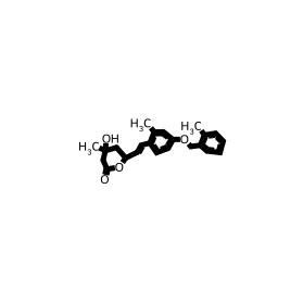 Cc1cc(OCc2ccccc2C)ccc1C=CC1CC(C)(O)CC(=O)O1